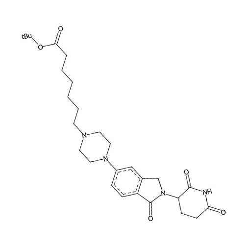 CC(C)(C)OC(=O)CCCCCCN1CCN(c2ccc3c(c2)CN(C2CCC(=O)NC2=O)C3=O)CC1